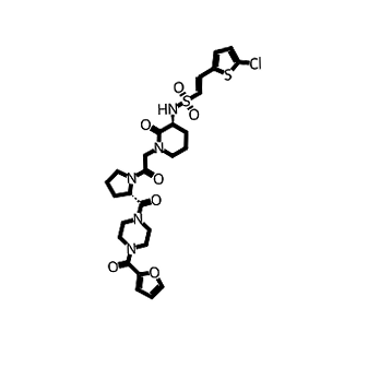 O=C(c1ccco1)N1CCN(C(=O)[C@@H]2CCCN2C(=O)CN2CCC[C@H](NS(=O)(=O)/C=C/c3ccc(Cl)s3)C2=O)CC1